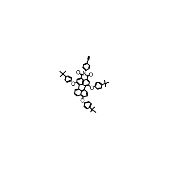 C#Cc1ccc(N2C(=O)c3cc(Oc4ccc(C(C)(C)C)cc4)c4c5cccc6c(Oc7ccc(C(C)(C)C)cc7)ccc(c7c(Oc8ccc(C(C)(C)C)cc8)cc(c3c47)C2=O)c65)cc1